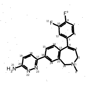 CN1CC=C(c2ccc(F)c(F)c2)c2ccc(-c3ccc(N)nn3)cc2C1